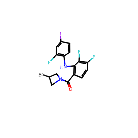 CCC1CN(C(=O)c2ccc(F)c(F)c2Nc2ccc(I)cc2F)C1